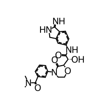 CN(C)C(=O)c1cccc(N2CCO[C@H]([C@@H](O)C(=O)Nc3ccc4c(c3)CNC4=N)C2=O)c1